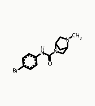 CN1CC2CC1CN2C(=O)Nc1ccc(Br)cc1